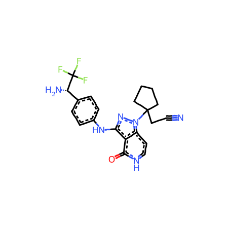 N#CCC1(n2nc(Nc3ccc([C@H](N)C(F)(F)F)cc3)c3c(=O)[nH]ccc32)CCCC1